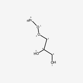 CCCOOCC(O)CO